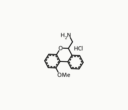 COc1cccc2c1-c1ccccc1C(CN)O2.Cl